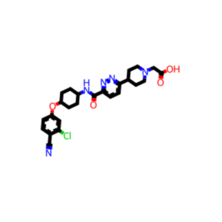 N#Cc1ccc(OC2CCC(NC(=O)c3ccc(C4CCN(CC(=O)O)CC4)nn3)CC2)cc1Cl